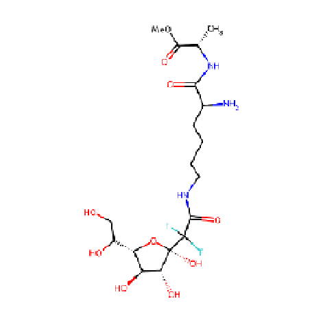 COC(=O)[C@H](C)NC(=O)[C@@H](N)CCCCNC(=O)C(F)(F)[C@]1(O)O[C@@H](C(O)CO)[C@H](O)[C@H]1O